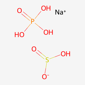 O=P(O)(O)O.O=S([O-])O.[Na+]